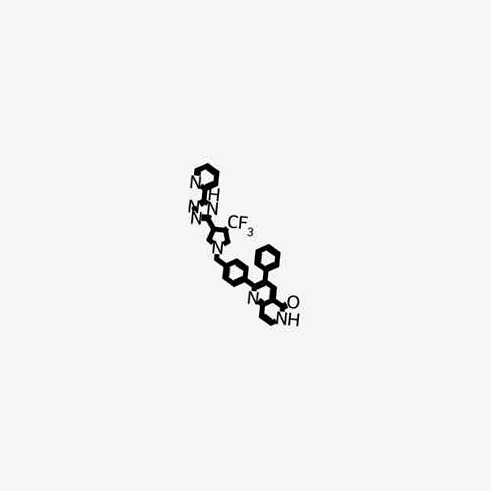 O=c1[nH]ccc2nc(-c3ccc(CN4CC(c5nnc(-c6ccccn6)[nH]5)C(C(F)(F)F)C4)cc3)c(-c3ccccc3)cc12